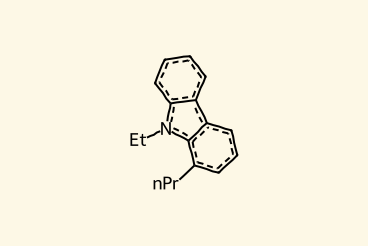 CCCc1cccc2c3ccccc3n(CC)c12